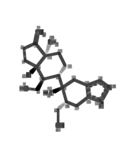 C=C1CC[C@H]2[C@H](CO)[C@@H]([C@]3(C)Cc4cn[nH]c4C[C@@H]3CO)CC[C@]12C